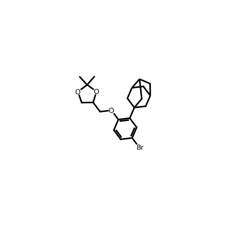 CC1(C)OCC(COc2ccc(Br)cc2C23CC4CC(C2)C(C4)C3)O1